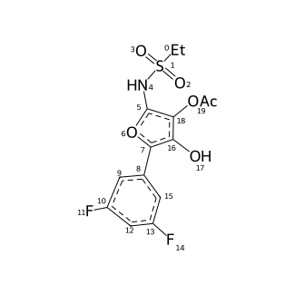 CCS(=O)(=O)Nc1oc(-c2cc(F)cc(F)c2)c(O)c1OC(C)=O